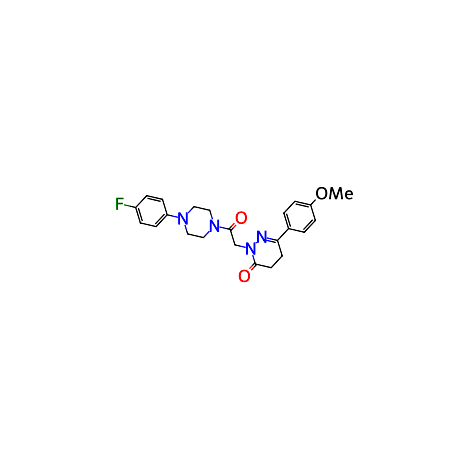 COc1ccc(C2=NN(CC(=O)N3CCN(c4ccc(F)cc4)CC3)C(=O)CC2)cc1